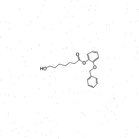 O=C(CCCCCCO)Oc1ccccc1OCc1ccccc1